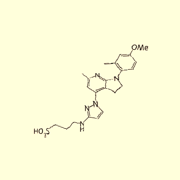 COc1ccc(N2CCc3c(-n4ccc(NCCCS(=O)(=O)O)n4)cc(C)nc32)c(C)c1